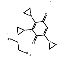 CC(C)CCN.O=C1C=C(N2CC2)C(=O)C(N2CC2)=C1N1CC1